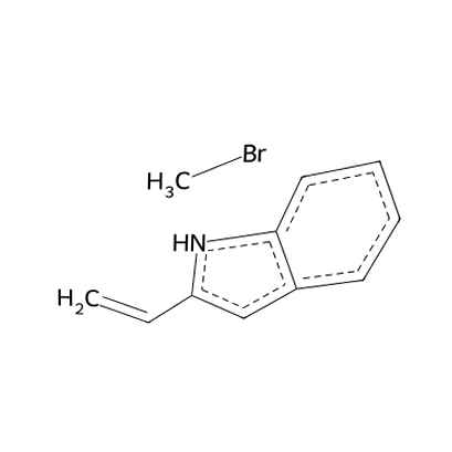 C=Cc1cc2ccccc2[nH]1.CBr